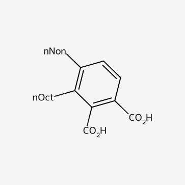 CCCCCCCCCc1ccc(C(=O)O)c(C(=O)O)c1CCCCCCCC